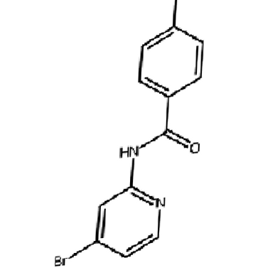 Cc1ccc(C(=O)Nc2cc(Br)ccn2)cc1